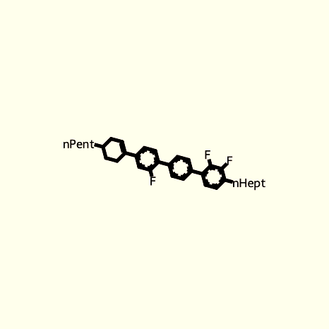 CCCCCCCc1ccc(-c2ccc(-c3ccc(C4=CCC(CCCCC)CC4)cc3F)cc2)c(F)c1F